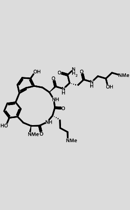 CNCCC[C@@H]1NC(=O)[C@@H](NC)Cc2cc(ccc2O)-c2ccc(O)c(c2)C[C@@H](C(=O)N[C@@H](CC(=O)NCC(O)CNC)C(N)=O)NC1=O